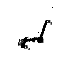 CCCCCCCCCCCCCCCCc1cccc(C(=O)O)c1CCCCOC(=O)CCCC=CC[C@@H]1[C@@H](C=CC[C@H](O)C2(CC)CCC2)[C@H](O)C[C@H]1Cl